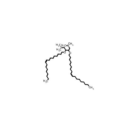 CCCCCCCC/C=C\CCCCCCCCOC(CN(C)C)C(CN(C)C)OCCCCCCCC/C=C\CCCCCCCC